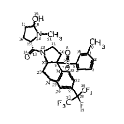 Cc1cccc(S(=O)(=O)C23CCN(C(=O)[C@@H]4CCC(O)N4C)C2CCc2cc(C(F)(C(F)(F)F)C(F)(F)F)ccc23)c1